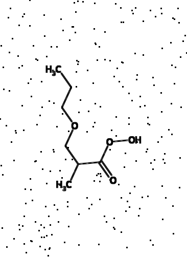 CCCOCC(C)C(=O)OO